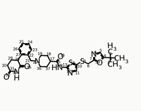 CC(C)(C)c1cnc(CSc2cnc(NC(=O)C3CCN(Cc4ccccc4C4CCC(=O)NC4=O)CC3)s2)o1